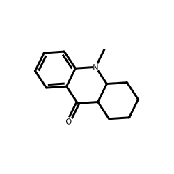 CN1c2ccccc2C(=O)C2CCCCC21